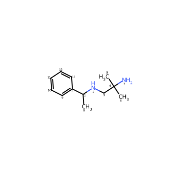 CC(NCC(C)(C)N)c1ccccc1